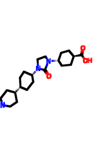 O=C1N([C@H]2CC[C@H](C(=O)O)CC2)CCN1[C@H]1CC[C@@H](C2CCNCC2)CC1